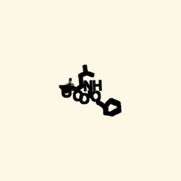 CC(C)CC(NC(=O)OCc1ccccc1)C(=O)[C@]1(C)CO1